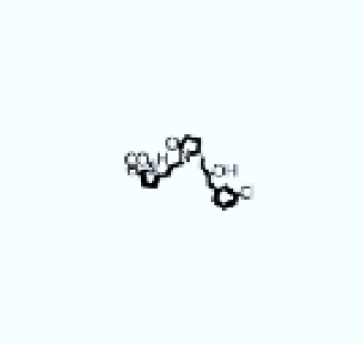 O=C(O)Oc1ccc(CCCN2C(=O)CC[C@@H]2CC[C@@H](O)Cc2cccc(Cl)c2)s1